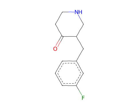 O=C1CCNCC1Cc1cccc(F)c1